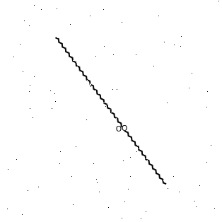 CCCCCCCCCCCCCCCCCCCCCCCCCCCCCCCCCCCCCCC(=O)OCCCCCCCCCCCCCCCCCCCCCCCC